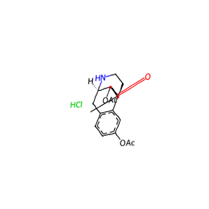 CC(=O)Oc1ccc2c(c1)[C@]13CCN[C@H](C2)C1(OC(C)=O)CCC(=O)C3.Cl